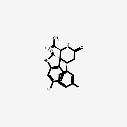 C=C(C)[C@H]1NC(=O)C[C@@H](c2cccc(Cl)c2)[C@]12C(=O)Nc1cc(Br)ccc12